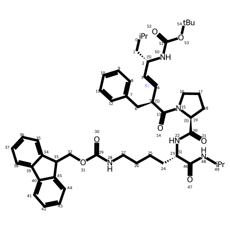 CC(C)C[C@@H](/C=C/[C@H](Cc1ccccc1)C(=O)N1CCC[C@H]1C(=O)N[C@@H](CCCCNC(=O)OCC1c2ccccc2-c2ccccc21)C(=O)NC(C)C)NC(=O)OC(C)(C)C